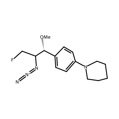 CO[C@H](c1ccc(N2CCCCC2)cc1)C(CF)N=[N+]=[N-]